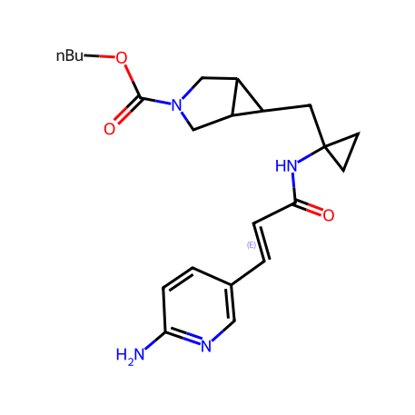 CCCCOC(=O)N1CC2C(C1)C2CC1(NC(=O)/C=C/c2ccc(N)nc2)CC1